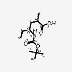 CC[C@@H](CC(C)C(=O)O)NC(=O)OC(C)(C)C